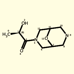 C[C@@H](O)C(=O)N1CC2C[N]CC(C1)O2